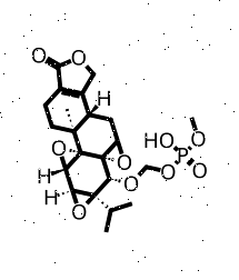 COP(=O)(O)OCO[C@@H]1[C@@]2(C(C)C)O[C@H]2[C@@H]2O[C@@]23[C@@]2(C)CCC4=C(COC4=O)[C@@H]2CC2O[C@]213